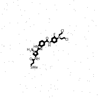 CSCCC(=O)Nc1cc(-c2nc3cc(C(=O)Nc4ccc(N(CCCl)CCCl)c(F)c4)ccc3[nH]2)n(C)c1